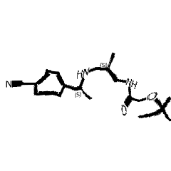 C[C@H](N[C@@H](C)CNC(=O)OC(C)(C)C)c1ccc(C#N)cc1